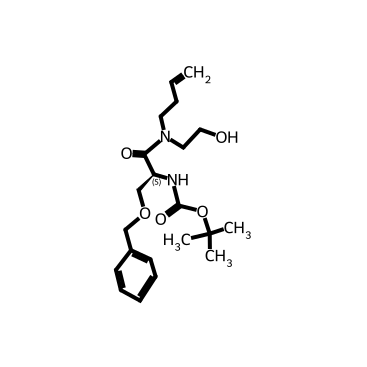 C=CCCN(CCO)C(=O)[C@H](COCc1ccccc1)NC(=O)OC(C)(C)C